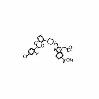 C=C(O)c1ccc2nc(CN3CCC(c4cccc5c4OC[C@@H](c4ccc(Cl)cc4F)O5)CC3)n(C[C@@H]3CCO3)c2c1